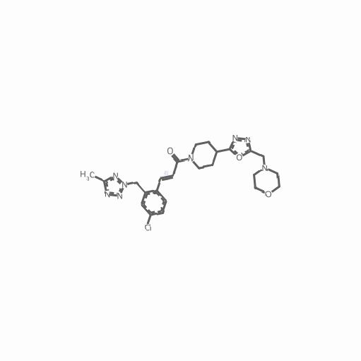 Cc1nnn(Cc2cc(Cl)ccc2/C=C/C(=O)N2CCC(c3nnc(CN4CCOCC4)o3)CC2)n1